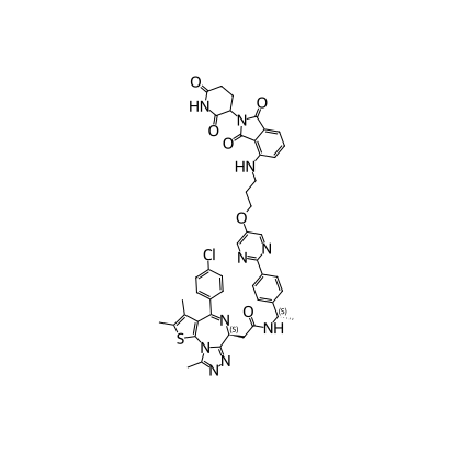 Cc1sc2c(c1C)C(c1ccc(Cl)cc1)=N[C@@H](CC(=O)N[C@@H](C)c1ccc(-c3ncc(OCCCNc4cccc5c4C(=O)N(C4CCC(=O)NC4=O)C5=O)cn3)cc1)c1nnc(C)n1-2